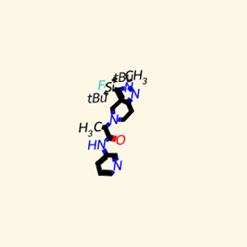 CC(C(=O)Nc1cccnc1)N1CCc2nn(C)c([Si](F)(C(C)(C)C)C(C)(C)C)c2C1